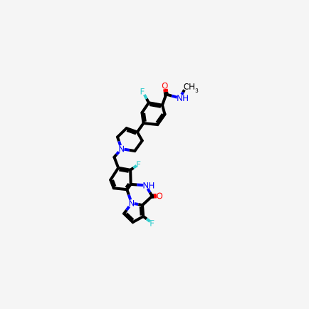 CNC(=O)c1ccc(C2=CCN(Cc3ccc4c([nH]c(=O)c5c(F)ccn54)c3F)CC2)cc1F